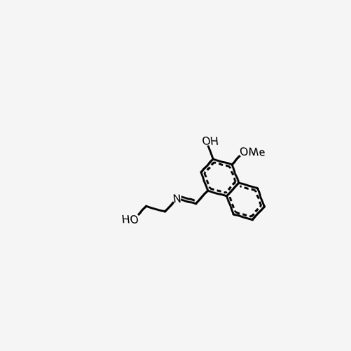 COc1c(O)cc(C=NCCO)c2ccccc12